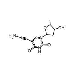 CC1OC(n2cc(C#CN)c(=O)[nH]c2=O)CC1O